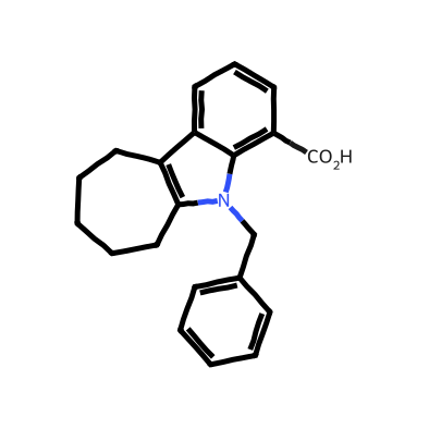 O=C(O)c1cccc2c3c(n(Cc4ccccc4)c12)CCCCC3